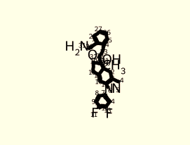 C[C@]12Cc3cnn(-c4ccc(F)c(F)c4)c3C=C1CC[C@@]2(O)CCc1ccccc1C(N)=O